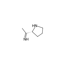 CC(=N)[C@H]1CCCN1